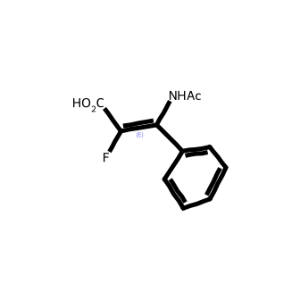 CC(=O)N/C(=C(/F)C(=O)O)c1ccccc1